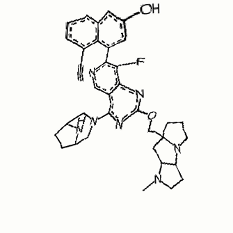 C#Cc1cccc2cc(O)cc(-c3ncc4c(N5CC6CCC(C5)N6)nc(OCC56CCCN5C5CCN(C)C5C6)nc4c3F)c12